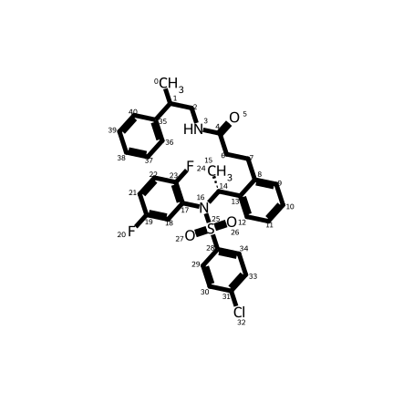 CC(CNC(=O)CCc1ccccc1[C@@H](C)N(c1cc(F)ccc1F)S(=O)(=O)c1ccc(Cl)cc1)c1ccccc1